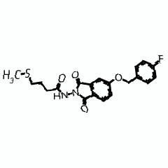 CSCCCC(=O)NN1C(=O)c2ccc(OCc3ccc(F)cc3)cc2C1=O